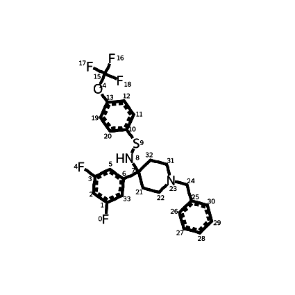 Fc1cc(F)cc(C2(NSc3ccc(OC(F)(F)F)cc3)CCN(Cc3ccccc3)CC2)c1